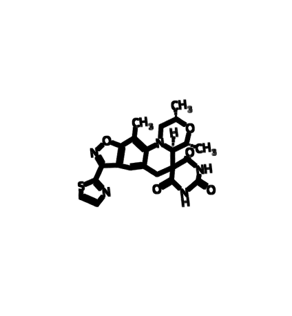 Cc1c2c(cc3c(-c4nccs4)noc13)CC1(C(=O)NC(=O)NC1=O)[C@@H]1[C@@H](C)O[C@@H](C)CN21